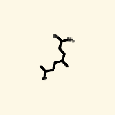 CCC(N)CCC(C)CCN(C)C(C)=O